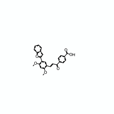 COc1cc(OC)c(-c2cc3ccccc3o2)cc1C=CC(=O)c1ccc(C(=O)O)cc1